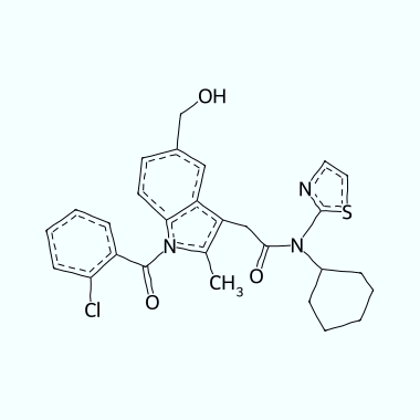 Cc1c(CC(=O)N(c2nccs2)C2CCCCC2)c2cc(CO)ccc2n1C(=O)c1ccccc1Cl